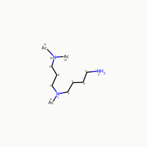 CC(=O)N(CCCCN)CCCN(C(C)=O)C(C)=O